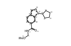 COCNC(=O)c1ccc2cnn(C3CCCC3)c2c1